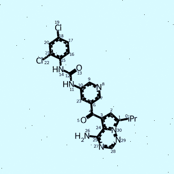 CC(C)c1cc(C(=O)c2cncc(NC(=O)Nc3ccc(Cl)cc3Cl)c2)c2c(N)ncnn12